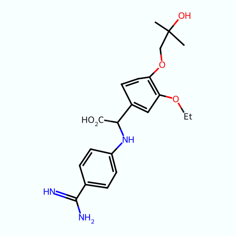 CCOc1cc(C(Nc2ccc(C(=N)N)cc2)C(=O)O)ccc1OCC(C)(C)O